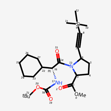 COC(=O)C1CCC(C#C[Si](C)(C)C)N1C(=O)[C@H](NC(=O)OC(C)(C)C)C1CCCCC1